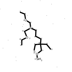 CCOCN(CCCC(CC)(CC)CO[SiH3])COCC